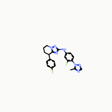 Cc1ncnn1-c1ccc(Nc2nc3n(n2)CCCC3c2ccc(F)cc2)cc1F